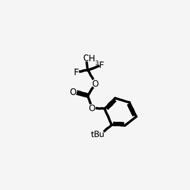 CC(F)(F)OC(=O)Oc1ccccc1C(C)(C)C